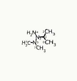 CC(C)N(N)N(C)C